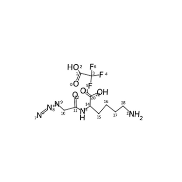 O=C(O)C(F)(F)F.[N-]=[N+]=NCC(=O)NC(CCCCN)C(=O)O